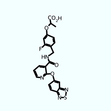 CC(Oc1ccc(CNC(=O)c2cccnc2Oc2ccc3nsnc3c2)c(F)c1)C(=O)O